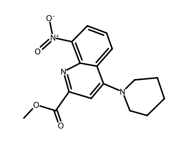 COC(=O)c1cc(N2CCCCC2)c2cccc([N+](=O)[O-])c2n1